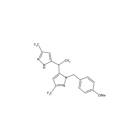 COc1ccc(Cn2nc(C(F)(F)F)cc2[C](C)c2cc(C(F)(F)F)n[nH]2)cc1